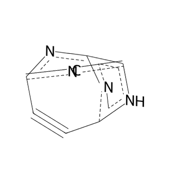 C1#Cc2nc3nc1ncc3[nH]2